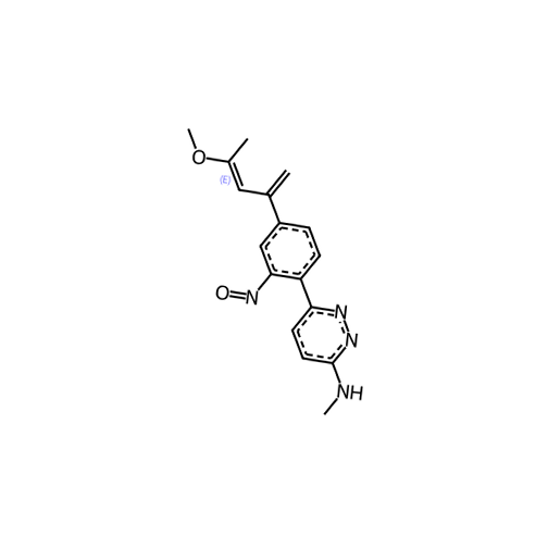 C=C(/C=C(\C)OC)c1ccc(-c2ccc(NC)nn2)c(N=O)c1